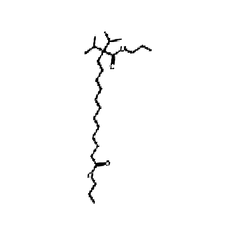 CCCOC(=O)CCCCCCCCCCCC(C(=O)OCCC)(C(C)C)C(C)C